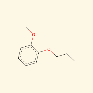 CCCOc1ccccc1OC